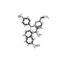 C=CC1C[N+]2(Cc3ccc(C(C)(C)C)cc3)CCC1CC2[C@@H](O)c1ccnc2ccc(OC)cc12